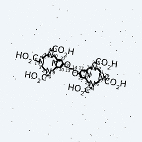 O=C(O)CN1CCN(CC(=O)O)Cc2cc(OCCOc3cc4nc(c3)CN(CC(=O)O)CCN(CC(=O)O)CCN(CC(=O)O)C4)cc(n2)CN(CC(=O)O)CC1